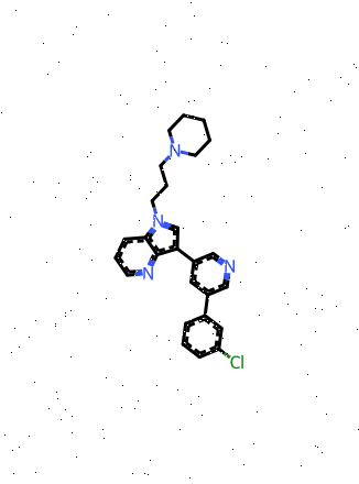 Clc1cccc(-c2cncc(-c3cn(CCCN4CCCCC4)c4cccnc34)c2)c1